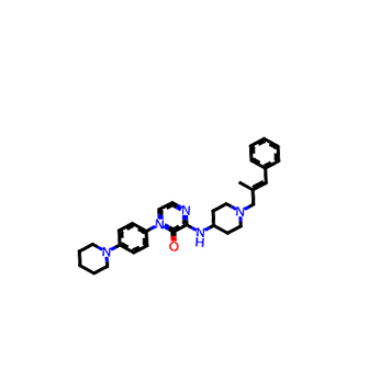 C/C(=C\c1ccccc1)CN1CCC(Nc2nccn(-c3ccc(N4CCCCC4)cc3)c2=O)CC1